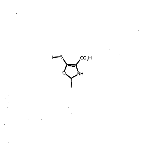 CC1NC(C(=O)O)=C(SI)O1